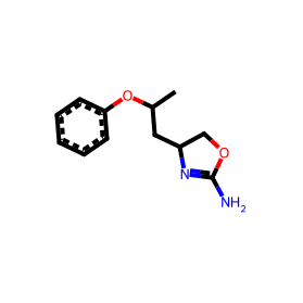 CC(CC1COC(N)=N1)Oc1ccccc1